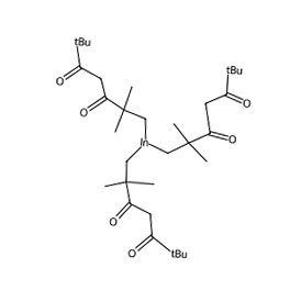 CC(C)(C)C(=O)CC(=O)C(C)(C)[CH2][In]([CH2]C(C)(C)C(=O)CC(=O)C(C)(C)C)[CH2]C(C)(C)C(=O)CC(=O)C(C)(C)C